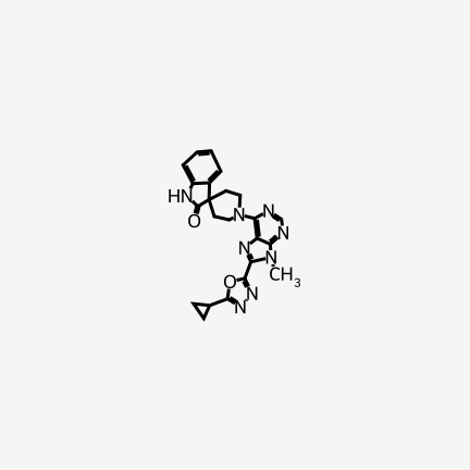 Cn1c(-c2nnc(C3CC3)o2)nc2c(N3CCC4(CC3)C(=O)Nc3ccccc34)ncnc21